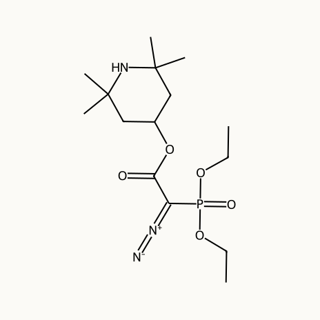 CCOP(=O)(OCC)C(=[N+]=[N-])C(=O)OC1CC(C)(C)NC(C)(C)C1